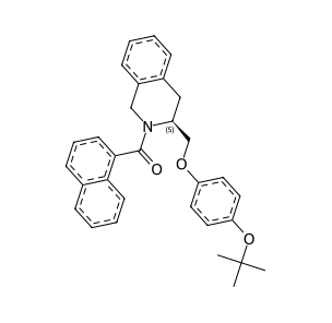 CC(C)(C)Oc1ccc(OC[C@@H]2Cc3ccccc3CN2C(=O)c2cccc3ccccc23)cc1